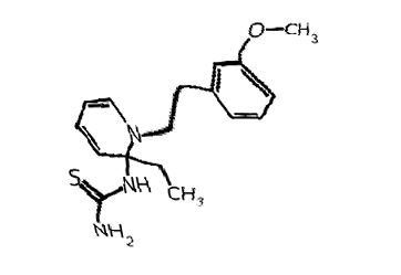 CCC1(NC(N)=S)C=CC=CN1CCc1cccc(OC)c1